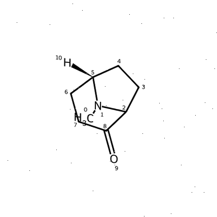 CN1C2CC[C@H]1CCC2=O